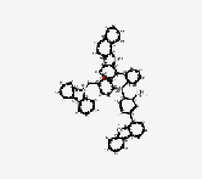 CC1C=C(c2cccc3c2oc2ccccc23)C=CC1N(c1ccc(Cn2c3ccccc3c3ccccc32)cc1)c1ccccc1-c1cccc2c1oc1c3ccccc3ccc21